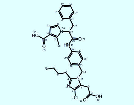 CCCCc1nc(Cl)c(CC(=O)O)n1Cc1ccc(NC(=O)[C@H](Cc2ccccc2)n2ccc(C(=O)O)c2C)cc1